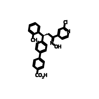 Cc1ccccc1[C@H](CC(=NO)c1ccnc(Cl)c1)c1ccc(-c2ccc(C(=O)O)cc2)cc1